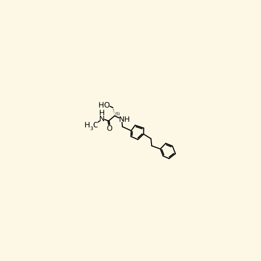 CNC(=O)[C@H](CO)NCc1ccc(CCc2ccccc2)cc1